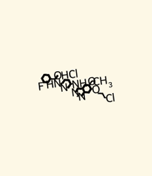 COc1cc2c(Nc3ccc(NC(=O)c4cccc(F)c4)nc3)ncnc2cc1OCCCCl.Cl